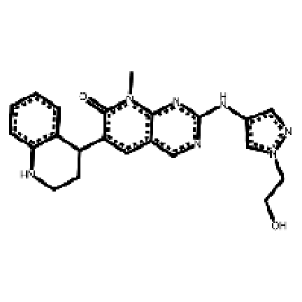 Cn1c(=O)c(C2CCNc3ccccc32)cc2cnc(Nc3cnn(CCO)c3)nc21